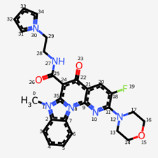 Cn1c2ccccc2n2c3nc(N4CCOCC4)c(F)cc3c(=O)c(C(=O)NCCn3cccc3)c12